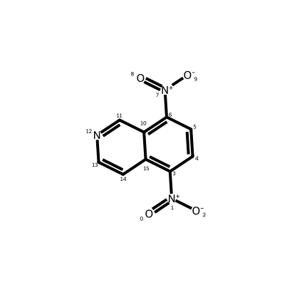 O=[N+]([O-])c1ccc([N+](=O)[O-])c2cnccc12